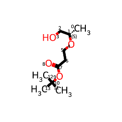 C[C@@H](CO)OCCC(=O)OC(C)(C)C